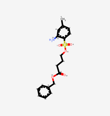 Cc1ccc(S(=O)(=O)OCCCC(=O)OCc2ccccc2)c(N)c1